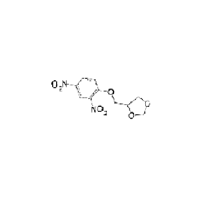 O=[N+]([O-])c1ccc(OCC2COCO2)c([N+](=O)[O-])c1